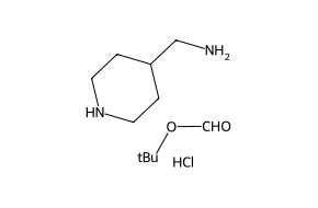 CC(C)(C)OC=O.Cl.NCC1CCNCC1